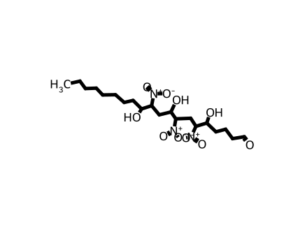 CCCCCCCCC(O)C(CC(O)C(CC(C(O)CCCC=O)[N+](=O)[O-])[N+](=O)[O-])[N+](=O)[O-]